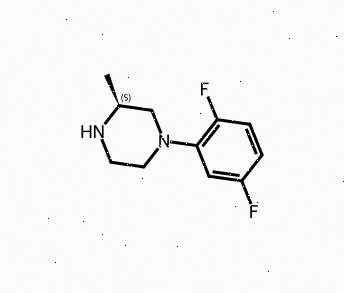 C[C@H]1CN(c2cc(F)ccc2F)CCN1